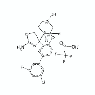 NC1=NC2(CO1)c1cc(-c3cc(F)cc(Cl)c3)ccc1O[C@H]1C[C@@H](O)CC[C@@H]12.O=C(O)C(F)(F)F